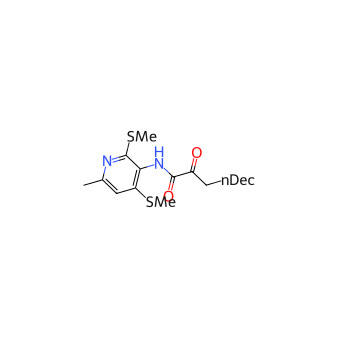 CCCCCCCCCCCC(=O)C(=O)Nc1c(SC)cc(C)nc1SC